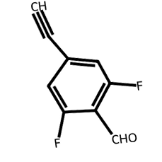 C#Cc1cc(F)c(C=O)c(F)c1